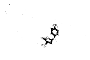 CC1=CC(Oc2ccc(C(F)(F)F)cc2)OC1=O